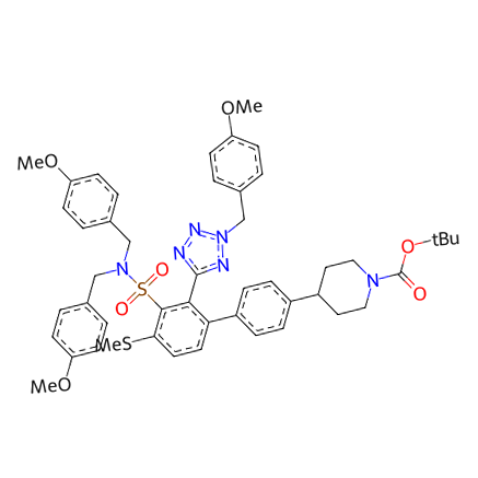 COc1ccc(CN(Cc2ccc(OC)cc2)S(=O)(=O)c2c(SC)ccc(-c3ccc(C4CCN(C(=O)OC(C)(C)C)CC4)cc3)c2-c2nnn(Cc3ccc(OC)cc3)n2)cc1